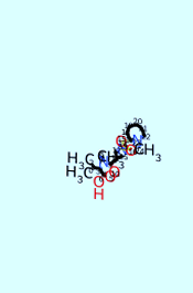 CC(C)C(C(=O)O)N(C)C(=O)C1CN(S(=O)(=O)[C@@H]2CCCCCN2C)C1